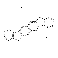 c1ccc2c(c1)Cc1cc3cc4c(cc3cc1-2)Cc1ccccc1-4